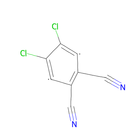 N#Cc1[c]c(Cl)c(Cl)[c]c1C#N